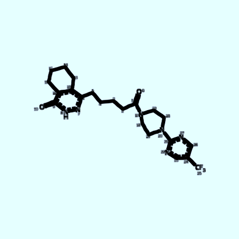 O=C(CCCCc1n[nH]c(=O)c2c1CCCC2)N1CCN(c2ncc(C(F)(F)F)cn2)CC1